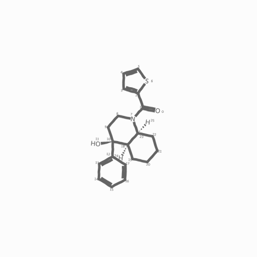 O=C(c1cccs1)N1CC[C@@](O)(c2ccccc2)[C@@H]2CCCC[C@@H]21